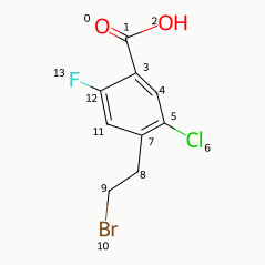 O=C(O)c1cc(Cl)c(CCBr)cc1F